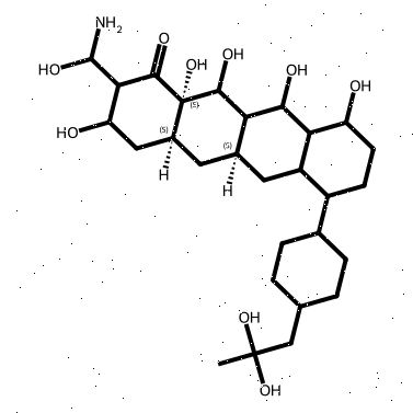 CC(O)(O)CC1CCC(C2CCC(O)C3C(O)C4C(O)[C@]5(O)C(=O)C(C(N)O)C(O)C[C@@H]5C[C@@H]4CC23)CC1